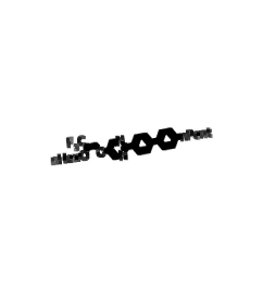 CCCCCCOC(COc1cnc(-c2ccc(-c3ccc(CCCCC)cc3)cc2)nc1)C(F)(F)F